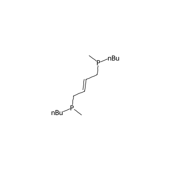 CCCCP(C)CC=CCP(C)CCCC